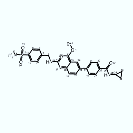 CCOc1nc(NCc2ccc(S(N)(=O)=O)cc2)nc2ccc(-c3ccc(C(=O)NC4CC4)cc3)cc12